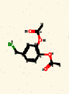 CC(=O)Oc1ccc(CBr)cc1OC(C)=O